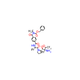 CC(C)[C@H](NC(=O)c1ccc(C(=O)N(C)C(=O)OCc2ccccc2)cc1)C(=O)N1CCC[C@H]1C(=O)C(N)(C(=O)C(F)(F)F)C(C)C